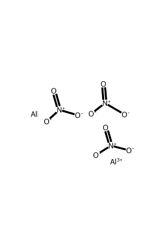 O=[N+]([O-])[O-].O=[N+]([O-])[O-].O=[N+]([O-])[O-].[Al+3].[Al]